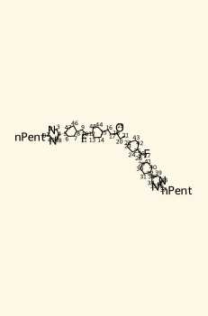 CCCCCc1ncc([C@H]2CC[C@H](CC(F)C3CCC(CCC(=O)CC[C@H]4CC[C@H](C(F)C[C@H]5CC[C@H](c6cnc(CCCCC)nc6)CC5)CC4)CC3)CC2)cn1